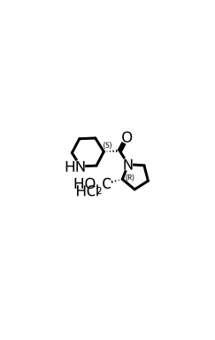 Cl.O=C(O)[C@H]1CCCN1C(=O)[C@H]1CCCNC1